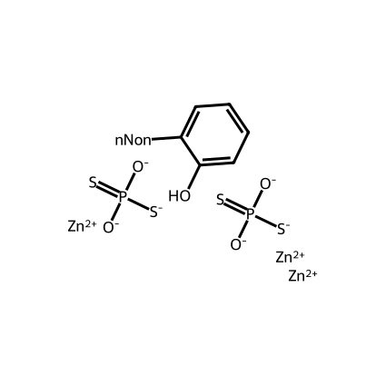 CCCCCCCCCc1ccccc1O.[O-]P([O-])(=S)[S-].[O-]P([O-])(=S)[S-].[Zn+2].[Zn+2].[Zn+2]